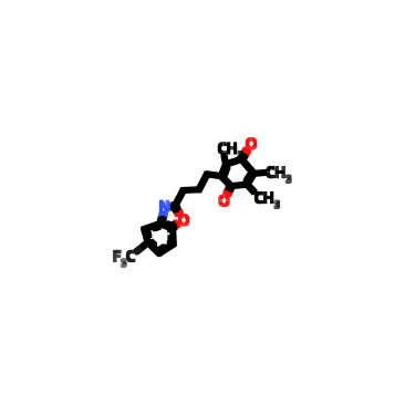 CC1=C(C)C(=O)C(CCCc2nc3cc(C(F)(F)F)ccc3o2)=C(C)C1=O